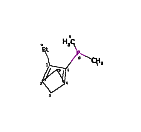 CCC1=C2CC(=C1P(C)C)C2